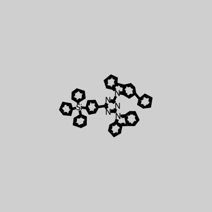 c1ccc(-c2ccc3c4ccccc4n(-c4nc(-c5ccc([Si](c6ccccc6)(c6ccccc6)c6ccccc6)cc5)nc(-n5c6ccccc6c6ccccc65)n4)c3c2)cc1